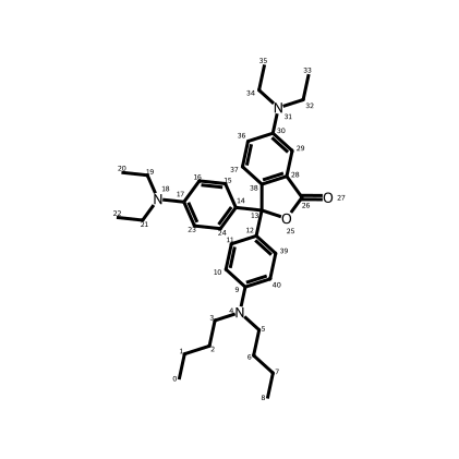 CCCCN(CCCC)c1ccc(C2(c3ccc(N(CC)CC)cc3)OC(=O)c3cc(N(CC)CC)ccc32)cc1